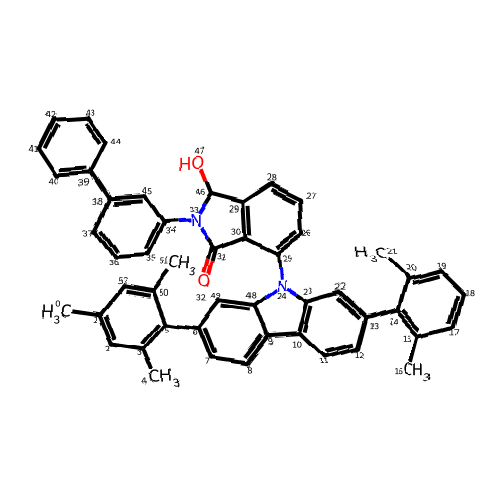 Cc1cc(C)c(-c2ccc3c4ccc(-c5c(C)cccc5C)cc4n(-c4cccc5c4C(=O)N(c4cccc(-c6ccccc6)c4)C5O)c3c2)c(C)c1